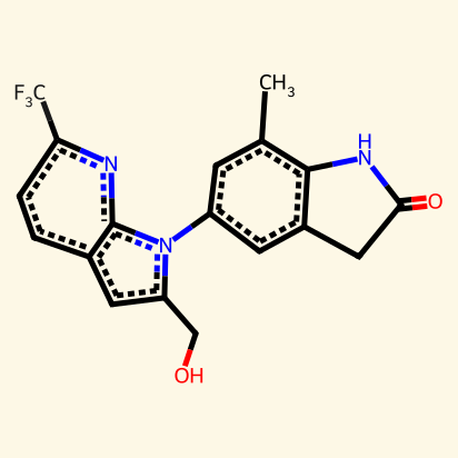 Cc1cc(-n2c(CO)cc3ccc(C(F)(F)F)nc32)cc2c1NC(=O)C2